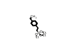 C=Cc1ccc(CC[Si](OCC)(OCC)OCC)cc1